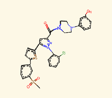 CS(=O)(=O)c1cccc(-c2ccc(-c3cc(C(=O)N4CCN(c5cccc(O)c5)CC4)nn3-c3ccccc3Cl)s2)c1